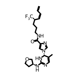 C=C/C=C\[C@@H](CCCNC(=O)c1cn([C@H]2NC(N[C@H]3CCOC3)=NC=C2C)cn1)C(F)(F)F